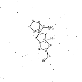 CCO[C@H]1OC2C[C@@]3(C[C@H]2O1)C1CCC(C1)C3N